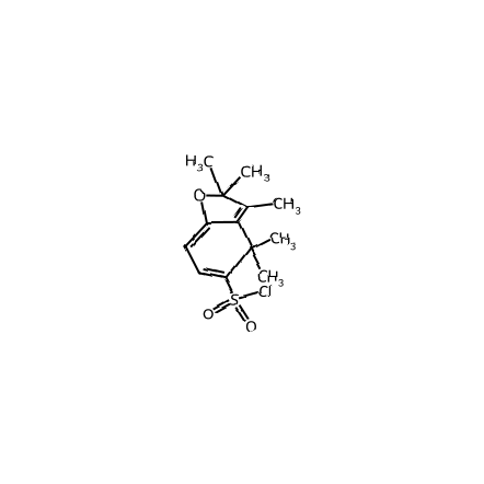 CC1=C2C(=CC=C(S(=O)(=O)Cl)C2(C)C)OC1(C)C